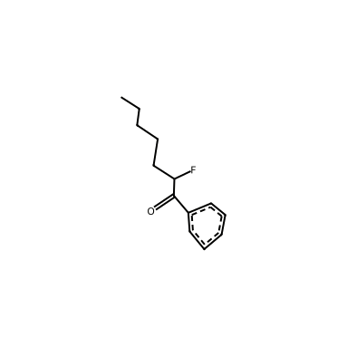 CCCCCC(F)C(=O)c1ccccc1